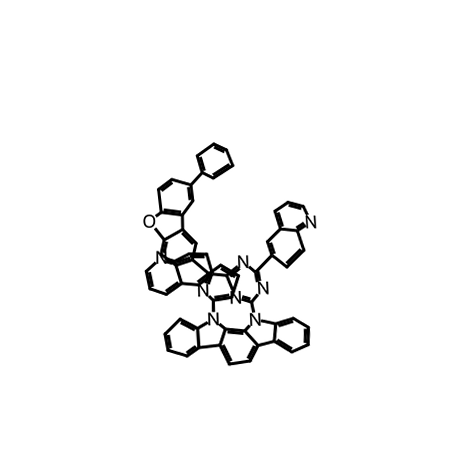 c1ccc(-c2ccc3oc4ccc(-c5cccc(-n6c7ccccc7c7ccc8c9ccccc9n(-c9nc(-c%10ccc%11ncccc%11c%10)nc(-c%10ccc%11ncccc%11c%10)n9)c8c76)n5)cc4c3c2)cc1